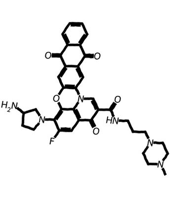 CN1CCN(CCCNC(=O)c2cn3c4cc5c(=O)c6ccccc6c(=O)c5cc4oc4c(N5CCC(N)C5)c(F)cc(c2=O)c43)CC1